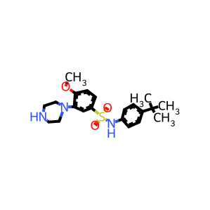 COc1ccc(S(=O)(=O)Nc2ccc(C(C)(C)C)cc2)cc1N1CCNCC1